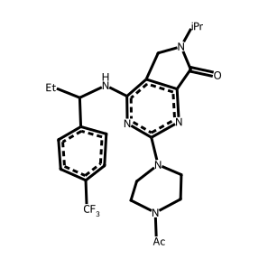 CCC(Nc1nc(N2CCN(C(C)=O)CC2)nc2c1CN(C(C)C)C2=O)c1ccc(C(F)(F)F)cc1